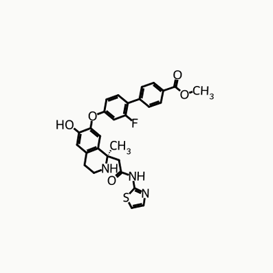 COC(=O)c1ccc(-c2ccc(Oc3cc4c(cc3O)CCN[C@]4(C)CC(=O)Nc3nccs3)cc2F)cc1